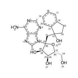 Nc1ncnc2c1ncn2[C@]1(CC2(O)CCc3ccccc32)O[C@H](CO)[C@@H](O)[C@H]1O